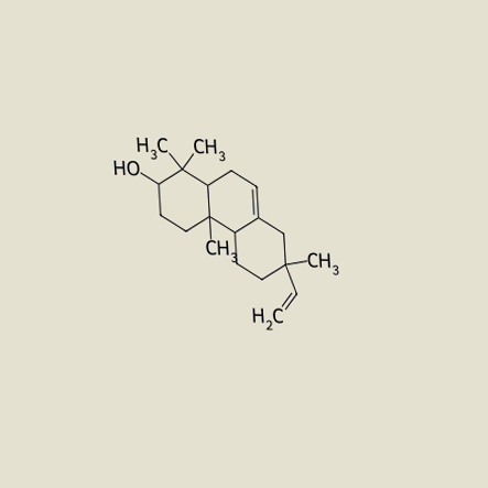 C=CC1(C)CCC2C(=CCC3C(C)(C)C(O)CCC23C)C1